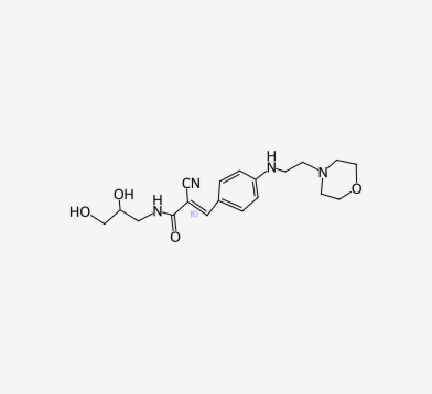 N#C/C(=C\c1ccc(NCCN2CCOCC2)cc1)C(=O)NCC(O)CO